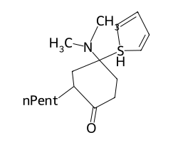 CCCCCC1CC(N(C)C)([SH]2C=CC=C2)CCC1=O